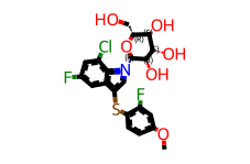 COc1ccc(Sc2cn([C@@H]3O[C@H](CO)[C@@H](O)[C@H](O)[C@H]3O)c3c(Cl)cc(F)cc23)c(F)c1